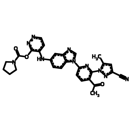 CC(=O)c1ccc(-n2cnc3cc(Nc4ccnnc4OC(=O)N4CCCC4)ccc32)nc1-n1nc(C#N)cc1C